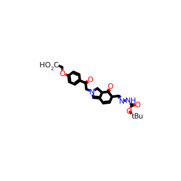 CC(C)(C)OC(=O)NN=CC1C=CC2=CN(CC(=O)c3ccc(OCC(=O)O)cc3)CC2C1=O